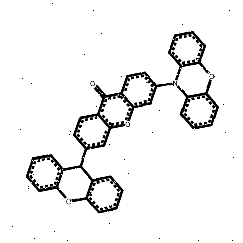 O=c1c2ccc(C3c4ccccc4Oc4ccccc43)cc2oc2cc(N3c4ccccc4Oc4ccccc43)ccc12